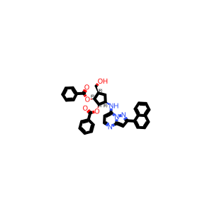 O=C(O[C@@H]1[C@@H](CO)C[C@@H](Nc2ccnc3cc(-c4cccc5ccccc45)nn23)[C@@H]1OC(=O)c1ccccc1)c1ccccc1